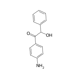 Nc1ccc(C(=O)C(O)c2ccccc2)cc1